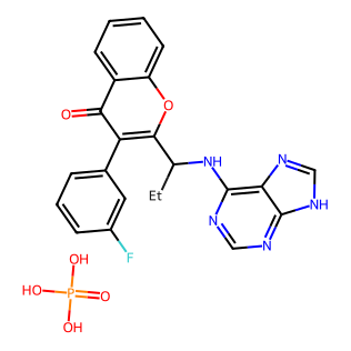 CCC(Nc1ncnc2[nH]cnc12)c1oc2ccccc2c(=O)c1-c1cccc(F)c1.O=P(O)(O)O